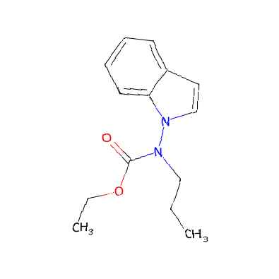 CCCN(C(=O)OCC)n1ccc2ccccc21